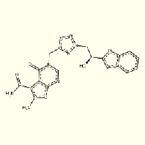 Cc1oc2ncn(Cc3nnn(C[C@H](O)c4cc5ccccc5o4)n3)c(=O)c2c1C(N)=O